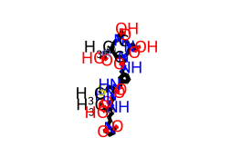 COC(O)[C@H](CCCCN1C(=O)C=CC1=O)NC(=O)CNC(=O)C(CCSC)NC(=O)c1cccc(CNC(=O)CN2CCC3/C(=C\C(=O)O)[C@]3(C)CCN(CC(=O)O)CCN(CC(=O)O)CC2)c1